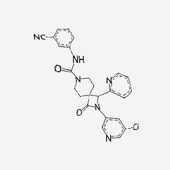 N#Cc1cccc(NC(=O)N2CCC3(CC2)C(=O)N(c2cncc(Cl)c2)C3c2ccccn2)c1